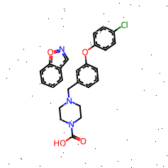 O=C(O)N1CCN(Cc2cccc(Oc3ccc(Cl)cc3)c2)CC1.c1ccc2oncc2c1